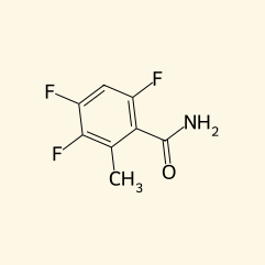 Cc1c(F)c(F)cc(F)c1C(N)=O